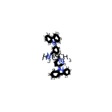 C[Si](C)(c1ccc(-n2c3ccccc3c3ccccc32)cn1)c1ccc(-n2c3ccccc3c3ccccc32)cc1C#N